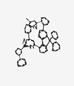 Cc1ccnc(-c2ccccc2-c2ccc3c(c2)C(c2ccccc2)(c2ccccc2)c2cccc(-c4cc(-c5ccccc5)nc(-c5cccc(-c6ccccc6)c5)n4)c2-3)c1